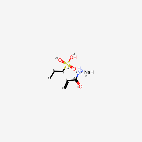 C=CC(N)=O.CCCS(=O)(=O)O.[NaH]